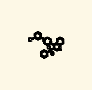 O=S(=O)(c1ccccc1)c1cnc2ccccc2c1N1CCN(c2cccc(Cl)c2)CC1